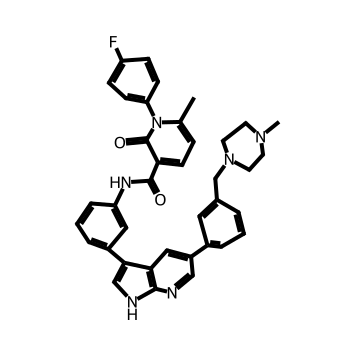 Cc1ccc(C(=O)Nc2cccc(-c3c[nH]c4ncc(-c5cccc(CN6CCN(C)CC6)c5)cc34)c2)c(=O)n1-c1ccc(F)cc1